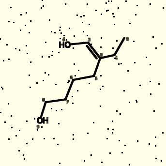 CCC(=CO)CCCCO